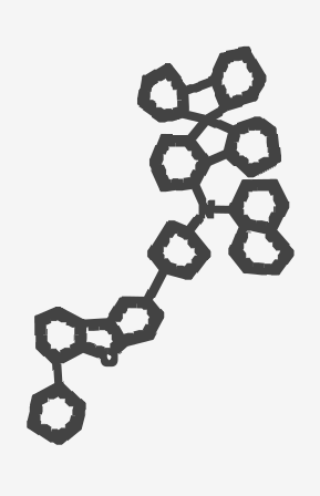 c1ccc(-c2cccc3c2oc2ccc(-c4ccc(N(c5cccc6c5-c5ccccc5C65c6ccccc6-c6ccccc65)c5cccc6ccccc56)cc4)cc23)cc1